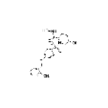 Cc1ccccc1COc1ccc(S(=O)(=O)N2CC(O)CCC2C(=O)NO)cc1